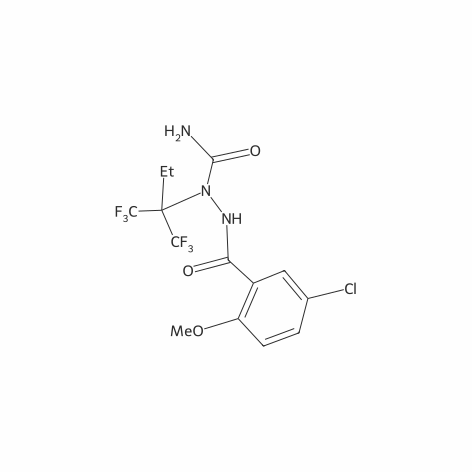 CCC(N(NC(=O)c1cc(Cl)ccc1OC)C(N)=O)(C(F)(F)F)C(F)(F)F